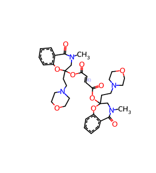 CN1CC(CCN2CCOCC2)(OC(=O)/C=C/C(=O)OC2(CCN3CCOCC3)CN(C)C(=O)c3ccccc3O2)Oc2ccccc2C1=O